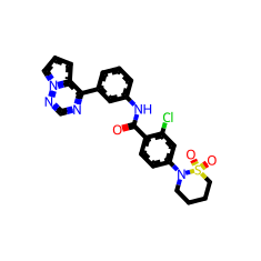 O=C(Nc1cccc(-c2ncnn3cccc23)c1)c1ccc(N2CCCCS2(=O)=O)cc1Cl